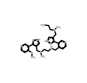 COc1ccncc1-c1n[nH]cc1CN(C)CCNCc1ccncc1-c1n[nH]cc1CN(C)CCN